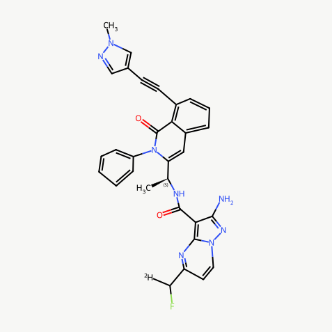 [2H]C(F)c1ccn2nc(N)c(C(=O)N[C@@H](C)c3cc4cccc(C#Cc5cnn(C)c5)c4c(=O)n3-c3ccccc3)c2n1